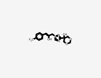 CC1(c2ncn(CC(O)=Cc3ccc(C(F)(F)F)cc3)n2)COCOC1